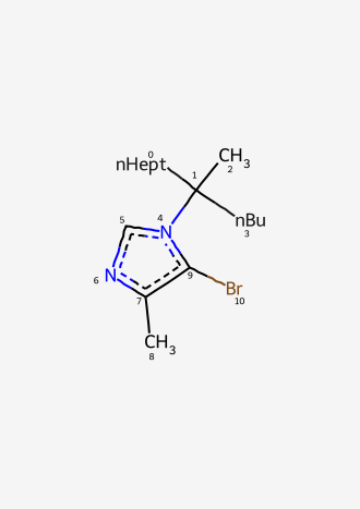 CCCCCCCC(C)(CCCC)n1cnc(C)c1Br